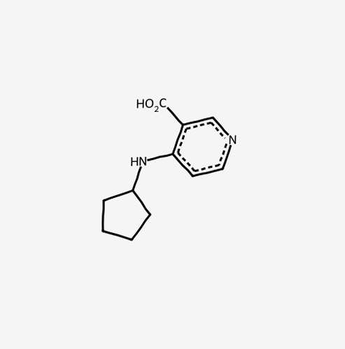 O=C(O)c1cnccc1NC1CCCC1